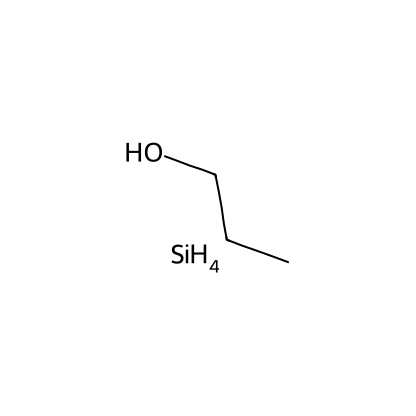 CCCO.[SiH4]